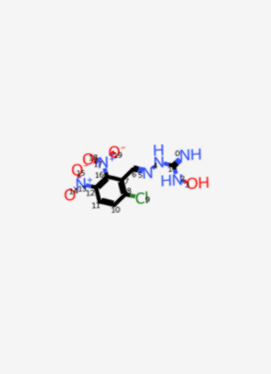 N=C(NO)NN=Cc1c(Cl)ccc([N+](=O)[O-])c1[N+](=O)[O-]